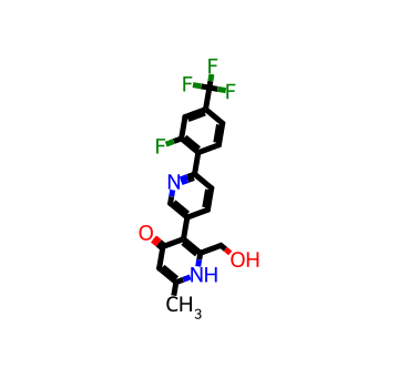 Cc1cc(=O)c(-c2ccc(-c3ccc(C(F)(F)F)cc3F)nc2)c(CO)[nH]1